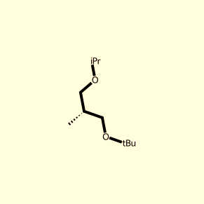 CC(C)OC[C@@H](C)COC(C)(C)C